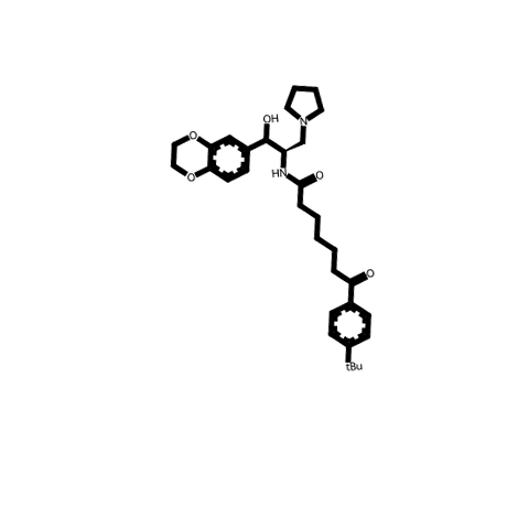 CC(C)(C)c1ccc(C(=O)CCCCCC(=O)N[C@H](CN2CCCC2)C(O)c2ccc3c(c2)OCCO3)cc1